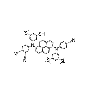 C[Si](C)(C)c1cc(S)cc(N(c2ccc(C#N)c(C#N)c2)c2ccc3ccc4c(N(c5ccc(C#N)cc5)c5cc([Si](C)(C)C)cc([Si](C)(C)C)c5)ccc5ccc2c3c54)c1